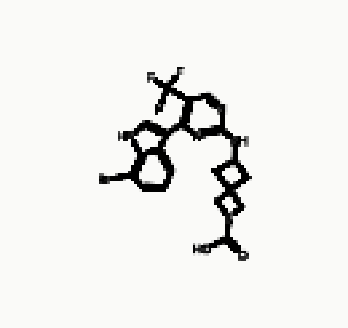 O=C(O)N1CC2(CC(Nc3ncc(C(F)(F)F)c(-c4c[nH]c5c(Br)cccc45)n3)C2)C1